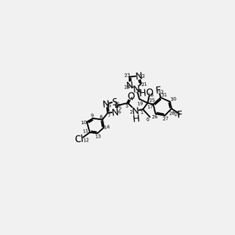 CC(NC(=O)c1nc(-c2ccc(Cl)cc2)ns1)C(O)(Cn1cncn1)c1ccc(F)cc1F